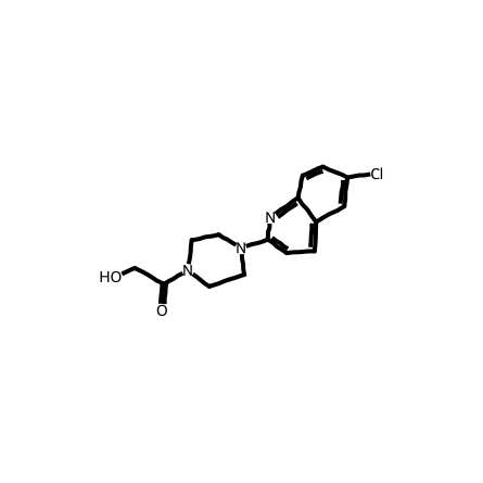 O=C(CO)N1CCN(c2ccc3cc(Cl)ccc3n2)CC1